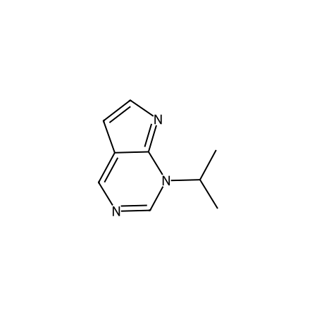 CC(C)n1cncc2ccnc1-2